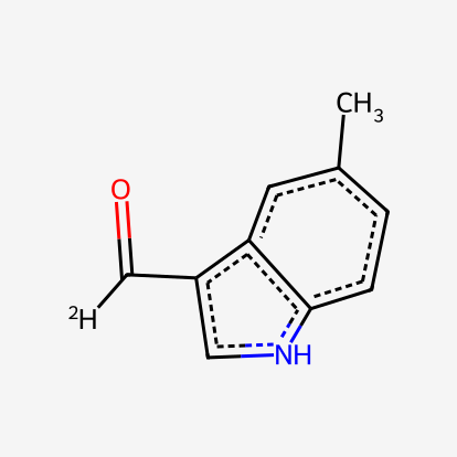 [2H]C(=O)c1c[nH]c2ccc(C)cc12